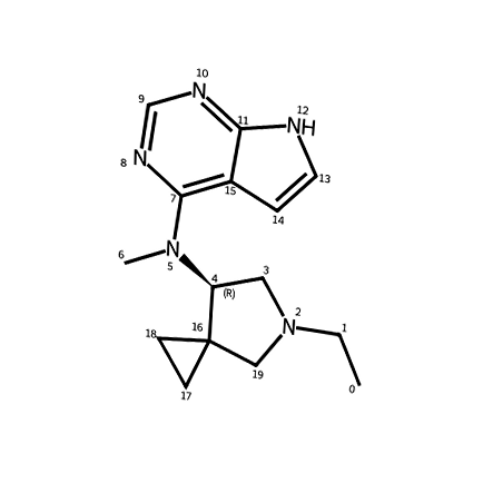 CCN1C[C@H](N(C)c2ncnc3[nH]ccc23)C2(CC2)C1